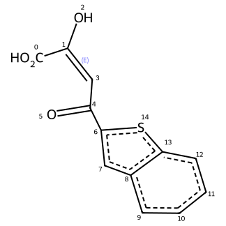 O=C(O)/C(O)=C\C(=O)c1cc2ccccc2s1